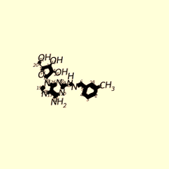 Cc1cccc(C=NNc2nc(N)c3ncn([C@@H]4O[C@H](CO)[C@@H](O)[C@H]4O)c3n2)c1